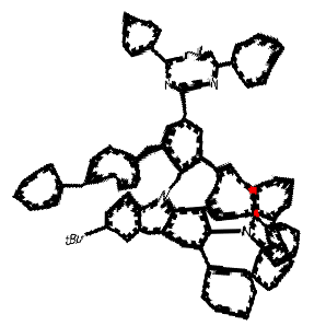 CC(C)(C)c1ccc2c(c1)c1cc(-c3ccccc3)c(-n3c4ccccc4c4ccccc43)cc1n2-c1c(-c2ccc(-c3ccccc3)cc2)cc(-c2nc(-c3ccccc3)nc(-c3ccccc3)n2)cc1-c1ccc(-c2ccccc2)cc1